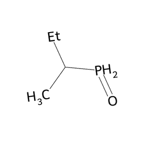 CCC(C)[PH2]=O